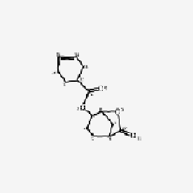 O=C(OC1CCC2CC1OC2=O)C1CC=CCC1